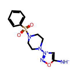 [NH-]c1c[n+](N2CCN(S(=O)(=O)c3ccccc3)CC2)no1